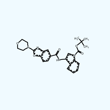 CC(C)(C)OC(=O)n1cc(NC(=O)c2ccc3oc(N4CCOCC4)nc3c2)c2ccccc21